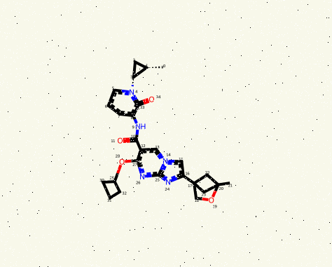 C[C@H]1C[C@H]1n1cccc(NC(=O)c2cn3cc(C45COC(C)(C4)C5)nc3nc2OC2CCC2)c1=O